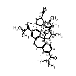 C=C(c1ccc2c(c1)CCc1cc(C(=O)N(C)C)ccc1C2(C[C@H](C)NCC(=C)N1CCCC1C#N)c1nnc(C)[nH]1)N(C)C